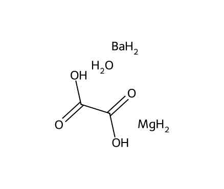 O.O=C(O)C(=O)O.[BaH2].[MgH2]